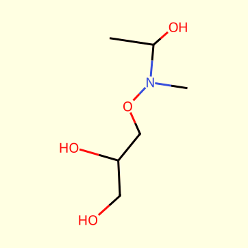 CC(O)N(C)OCC(O)CO